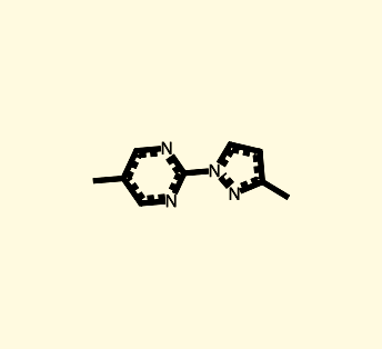 Cc1cnc(-n2ccc(C)n2)nc1